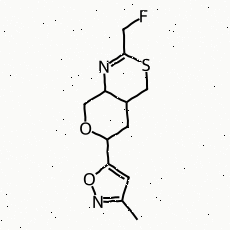 Cc1cc(C2CC3CSC(CF)=NC3CO2)on1